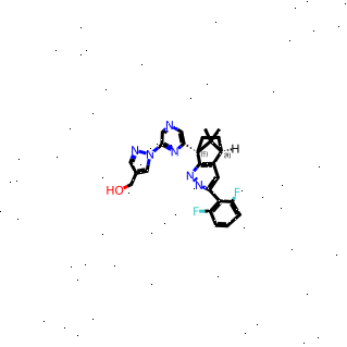 CC1(C)[C@H]2CC[C@]1(c1cncc(-n3cc(CO)cn3)n1)c1nnc(-c3c(F)cccc3F)cc12